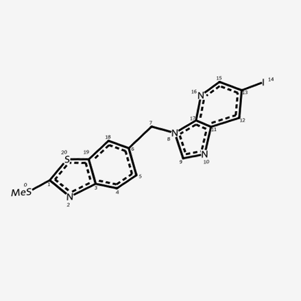 CSc1nc2ccc(Cn3cnc4cc(I)cnc43)cc2s1